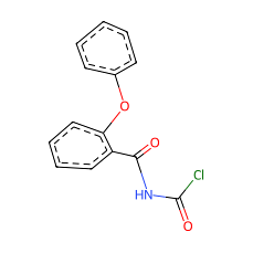 O=C(Cl)NC(=O)c1ccccc1Oc1ccccc1